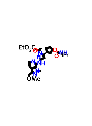 CCOC(=O)OC(C)n1nc(Nc2nccc3c(COC)nn(C)c23)cc1[C@H]1CC[C@@H](OC(=O)NC(C)C)C1